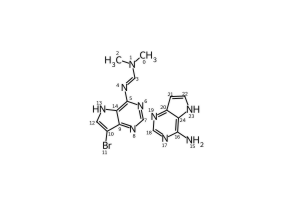 CN(C)C=Nc1ncnc2c(Br)c[nH]c12.Nc1ncnc2cc[nH]c12